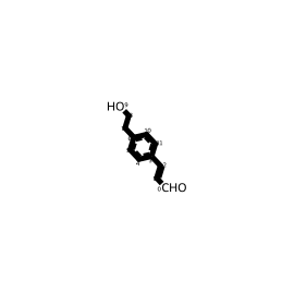 O=CC=Cc1ccc(CCO)cc1